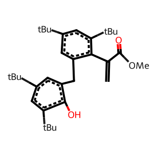 C=C(C(=O)OC)c1c(Cc2cc(C(C)(C)C)cc(C(C)(C)C)c2O)cc(C(C)(C)C)cc1C(C)(C)C